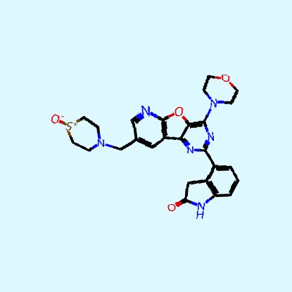 O=C1Cc2c(cccc2-c2nc(N3CCOCC3)c3oc4ncc(CN5CC[S+]([O-])CC5)cc4c3n2)N1